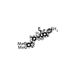 COc1cc2ncnc(Oc3ccc(NC(=O)c4cn(CCF)c5c(F)c(N6CCN(C)CC6)c(F)cc5c4=O)cc3F)c2cc1OC